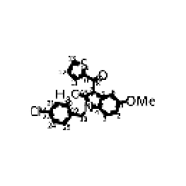 COc1ccc2c(c1)c(C(=O)c1cccs1)c(C)n2Cc1ccc(Cl)cc1